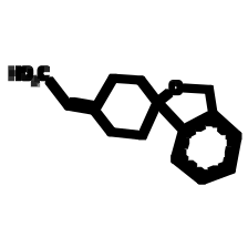 O=C(O)C=C1CCC2(CC1)OCc1ccccc12